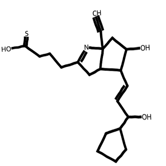 C#CC12CC(O)C(C=CC(O)C3CCCC3)C1CC(CCCC(O)=S)=N2